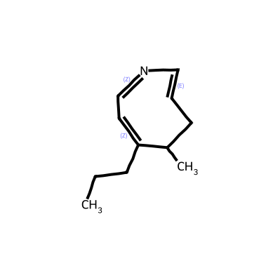 CCC/C1=C/C=N\C=C\CC1C